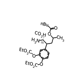 CCCCC(=O)OC(C)CC(c1ccc(OC(=O)OCC)c(OC(=O)OCC)c1)[C@H](N)C(=O)O